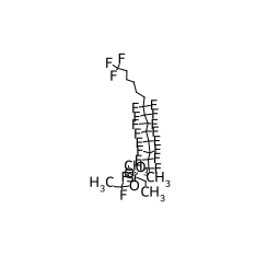 CCC(F)(F)O[Si](CC)(OC)OC(C)(F)C(F)(F)C(F)(F)C(F)(F)C(F)(F)C(F)(F)C(F)(F)C(F)(F)CCCCCC(F)(F)F